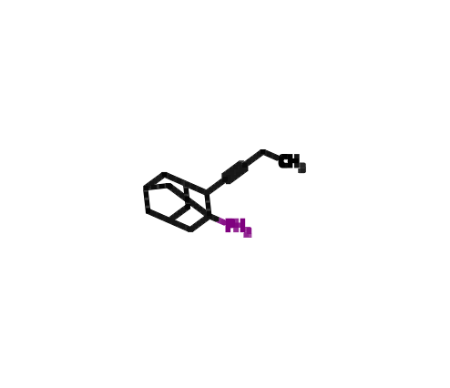 CCC#CC1C2CC3CC(C2)CC1(P)C3